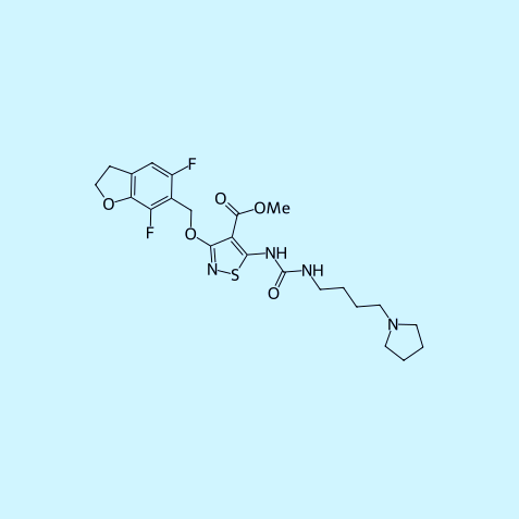 COC(=O)c1c(OCc2c(F)cc3c(c2F)OCC3)nsc1NC(=O)NCCCCN1CCCC1